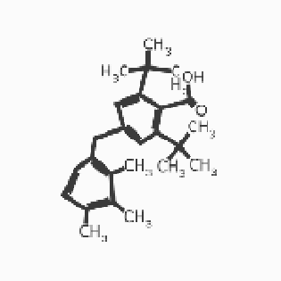 Cc1ccc(Cc2cc(C(C)(C)C)c(C(=O)O)c(C(C)(C)C)c2)c(C)c1C